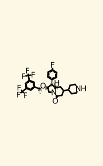 C[C@@H](O[C@H]1CN2C(=O)CC(C3CCNCC3)C[C@H]2[C@@H]1c1ccc(F)cc1)c1cc(C(F)(F)F)cc(C(F)(F)F)c1